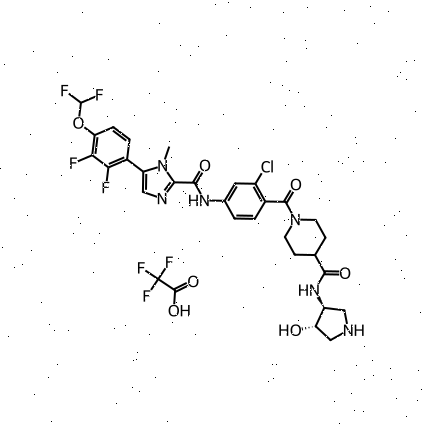 Cn1c(-c2ccc(OC(F)F)c(F)c2F)cnc1C(=O)Nc1ccc(C(=O)N2CCC(C(=O)N[C@H]3CNC[C@@H]3O)CC2)c(Cl)c1.O=C(O)C(F)(F)F